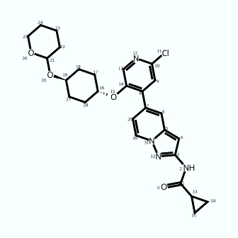 O=C(Nc1cc2cc(-c3cc(Cl)ncc3O[C@H]3CC[C@H](OC4CCCCO4)CC3)ccn2n1)C1CC1